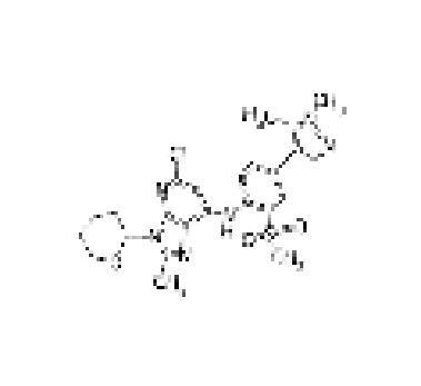 Cc1c(-c2ccc(Nc3cc(Cl)nc4c3nc(C)n4C3CCCCO3)c(S(C)(=O)=O)c2)cnn1C